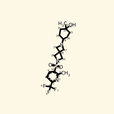 Cc1nc(C(F)(F)F)ccc1S(=O)(=O)N1CC2(CN(C3CCC(C)(O)CC3)C2)C1